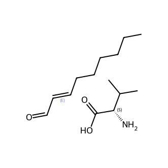 CC(C)[C@H](N)C(=O)O.CCCCCC/C=C/C=O